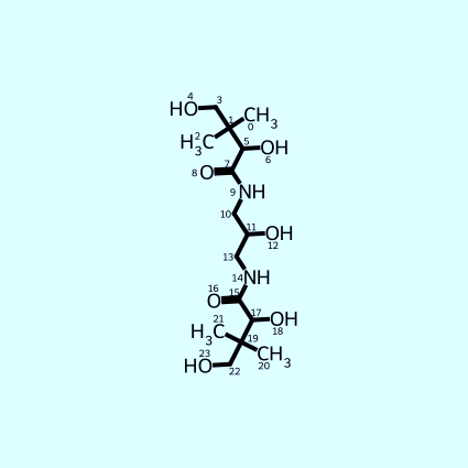 CC(C)(CO)C(O)C(=O)NCC(O)CNC(=O)C(O)C(C)(C)CO